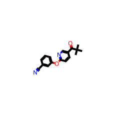 CC(C)(C)C(=O)c1ccc(Oc2cccc(C#N)c2)nc1